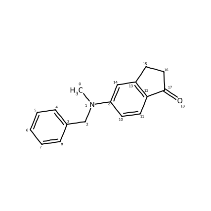 CN(Cc1ccccc1)c1ccc2c(c1)CCC2=O